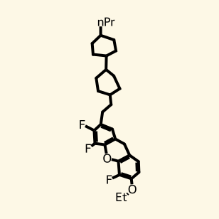 CCCC1CCC(C2CCC(CCc3cc4c(c(F)c3F)Oc3c(ccc(OCC)c3F)C4)CC2)CC1